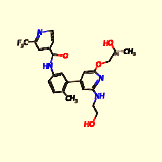 Cc1ccc(NC(=O)c2ccnc(C(F)(F)F)c2)cc1-c1cc(NCCO)nc(OC[C@@H](C)O)c1